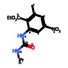 CCOC(=O)c1c(C)cc([N+](=O)[O-])cc1NC(=O)NC(C)C